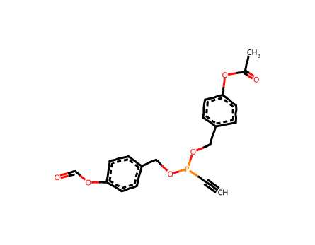 C#CP(OCc1ccc(OC=O)cc1)OCc1ccc(OC(C)=O)cc1